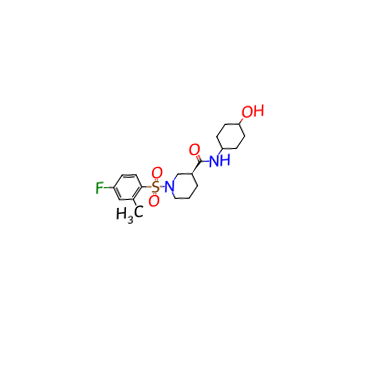 Cc1cc(F)ccc1S(=O)(=O)N1CCC[C@H](C(=O)NC2CCC(O)CC2)C1